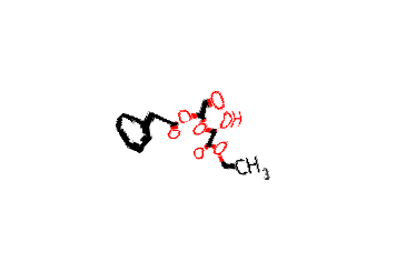 CCOC(=O)C(O)OC(C=O)OC(=O)Cc1ccccc1